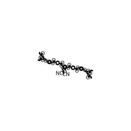 C=CC(=O)OCC(COc1ccc(OC(=O)C2CCC(C(=O)Oc3ccc(OC(=O)C4CCC(C(=O)Oc5ccc(OCC(COC(=O)C=C)OC(=O)C=C)cc5)CC4)c4c3SC(=C(C#N)C#N)S4)CC2)cc1)OC(=O)C=C